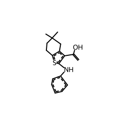 C=C(O)c1c(Nc2ccccc2)sc2c1CC(C)(C)CC2